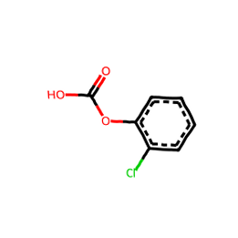 O=C(O)Oc1ccccc1Cl